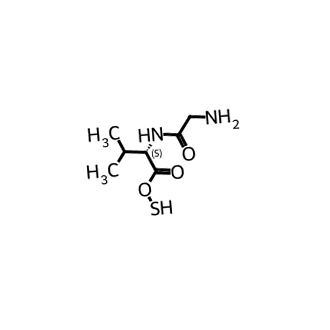 CC(C)[C@H](NC(=O)CN)C(=O)OS